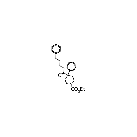 CCOC(=O)N1CCC(C(=O)CCCCc2ccccc2)(c2ccccc2)CC1